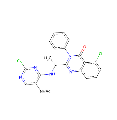 CC(=O)Nc1cnc(Cl)nc1N[C@H](C)c1nc2cccc(Cl)c2c(=O)n1-c1ccccc1